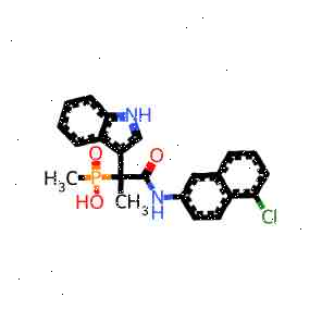 CC(C(=O)Nc1ccc2c(Cl)cccc2c1)(c1c[nH]c2ccccc12)P(C)(=O)O